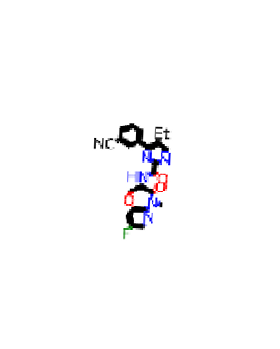 CCc1cnc(C(=O)N[C@H]2COc3cc(F)cnc3N(C)C2=O)nc1-c1cccc(C#N)c1